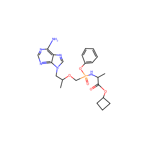 CC(Cn1cnc2c(N)ncnc21)OCP(=O)(NC(C)C(=O)OC1CCC1)Oc1ccccc1